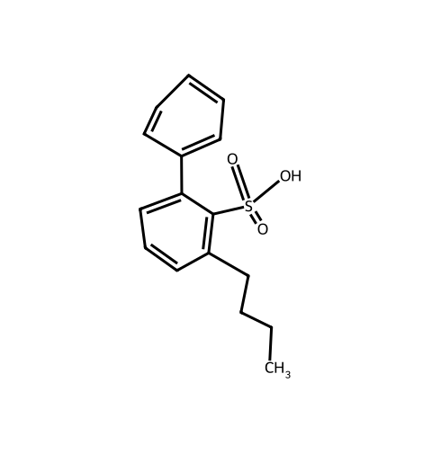 CCCCc1cccc(-c2ccccc2)c1S(=O)(=O)O